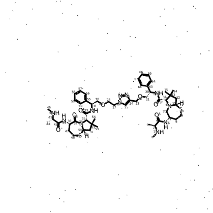 CN[C@@H](C)C(=O)N[C@H]1CCS[C@H]2CC(C)(C)[C@@H](C(=O)N[C@H](COCc3cn(CCOC[C@@H](NC(=O)[C@H]4N5C(=O)[C@@H](NC(=O)[C@H](C)NC)CCS[C@H]5CC4(C)C)c4ccccc4)nn3)c3ccccc3)N2C1